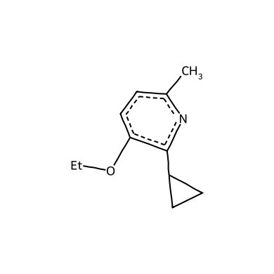 CCOc1ccc(C)nc1C1CC1